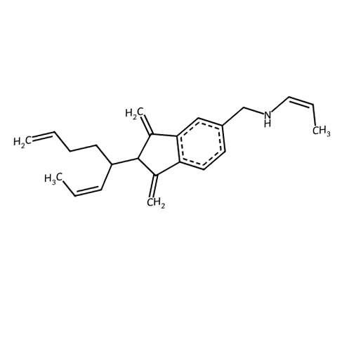 C=CCCC(/C=C\C)C1C(=C)c2ccc(CN/C=C\C)cc2C1=C